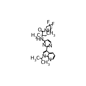 CC[C@@](C)(Nc1ccnc(-c2cn(C(C)C)c3ncccc23)n1)C(=O)NCC(F)(F)F